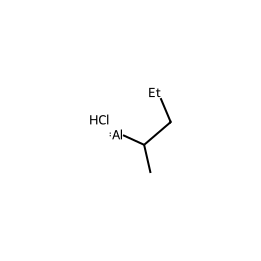 CCC[CH](C)[Al].Cl